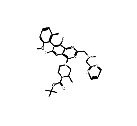 COc1cccc(F)c1-c1c(Cl)cc2c(N3CCN(C(=O)OC(C)(C)C)C(C)C3)nc(CN(C)Cc3ncccn3)nc2c1F